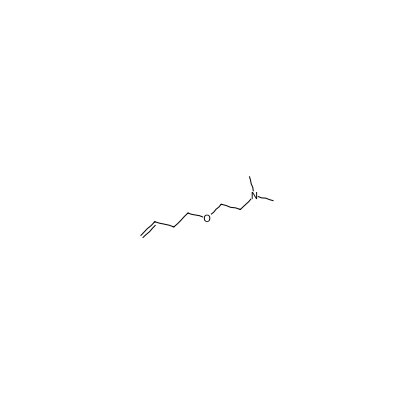 C=CCCOCCN(C)C